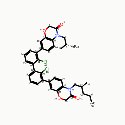 CCCC[C@H](C)CN1C(=O)COc2cc(-c3cccc(-c4cccc(-c5ccc6c(c5)OCC(=O)N6C[C@@H](C)CCC(C)=O)c4Cl)c3Cl)ccc21